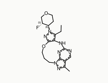 CCc1c2c(nn1[C@@H]1CCOC[C@H]1F)OCCCn1nc(C)c3cnc(nc31)N2